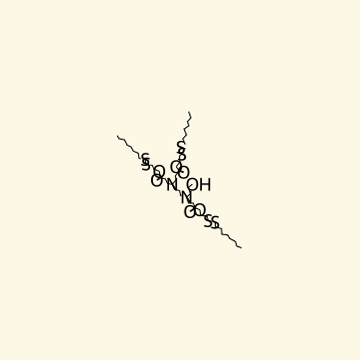 CCCCCCCCSSCCOC(=O)CCN(CCO)CCCN(CCC(=O)OCCSSCCCCCCCC)CCC(=O)OCCSSCCCCCCCC